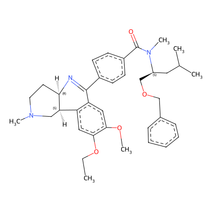 CCOc1cc2c(cc1OC)C(c1ccc(C(=O)N(C)[C@H](COCc3ccccc3)CC(C)C)cc1)=N[C@@H]1CCN(C)C[C@H]21